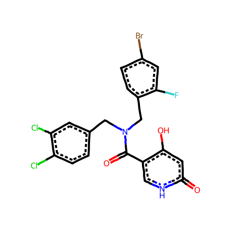 O=C(c1c[nH]c(=O)cc1O)N(Cc1ccc(Cl)c(Cl)c1)Cc1ccc(Br)cc1F